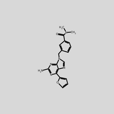 CN(C)C(=O)c1cccc(Cn2cnc3c(-c4ccco4)nc(N)nc32)c1